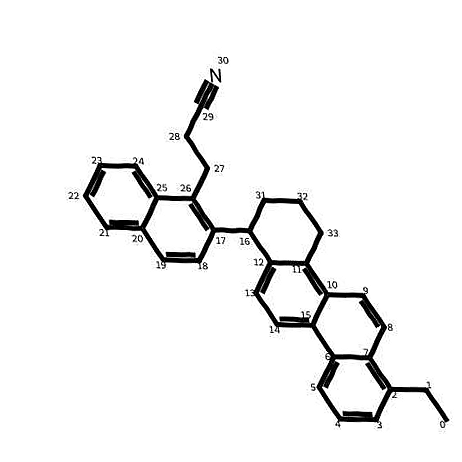 CCc1cccc2c1ccc1c3c(ccc12)C(c1ccc2ccccc2c1CCC#N)CCC3